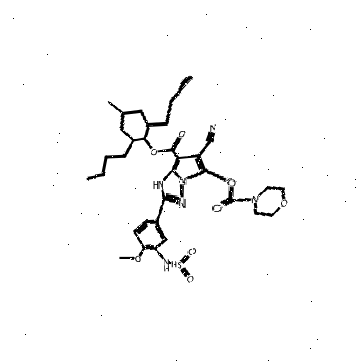 CCCCC1CC(C)CC(CCCC)C1OC(=O)c1c(C#N)c(OC(=O)N2CCOCC2)n2nc(-c3ccc(OC)c(N[SH](=O)=O)c3)[nH]c12